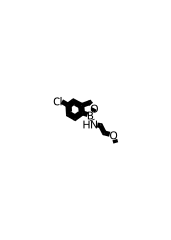 COCCNB1OCc2cc(Cl)ccc21